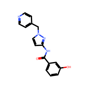 O=C(Nc1ccn(Cc2ccncc2)n1)c1cccc(O)c1